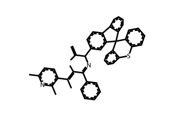 C=C(C)C(/N=C(\C(C)=C(/C)c1ccc(C)nc1C)c1ccccc1)c1ccc2c(c1)C1(c3ccccc3Sc3ccccc31)c1ccccc1-2